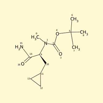 CN(C(=O)OC(C)(C)C)[C@@H](CC1CC1)C(N)=O